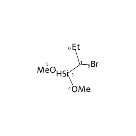 CCC(Br)[SiH](OC)OC